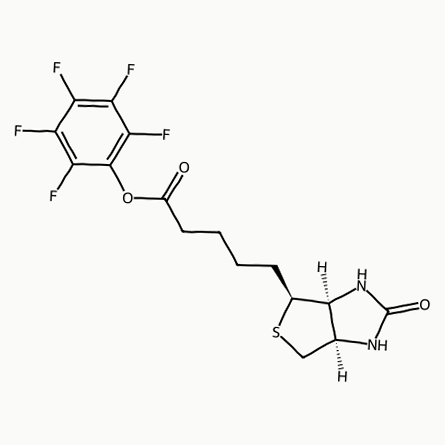 O=C1N[C@H]2[C@H](CS[C@H]2CCCCC(=O)Oc2c(F)c(F)c(F)c(F)c2F)N1